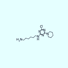 NCCCCCCNc1nc(Cl)nc(N2CCCCC2)n1